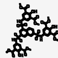 COC(=O)c1cc(NS(=O)(=O)c2ccc3c(S(=O)(=O)Nc4cc(C(=O)OC)c(O)c(C(=O)OC)c4)cc(S(=O)(=O)Nc4cc(C(=O)OC)c(O)c(C(=O)OC)c4)cc3c2)cc(C(=O)OC)c1O